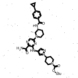 C[C@@H]1[C@H](NC(=O)c2ccc(C3CC3)cc2)CCCN1c1cnc(C(N)=O)c(Nc2cnn(C3CCN(C(=O)OC(C)(C)C)CC3)c2)n1